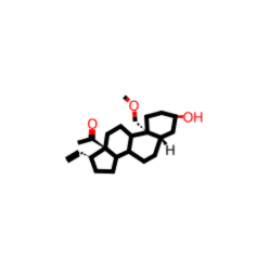 C=C[C@H]1CCC2C3CC[C@H]4C[C@H](O)CC[C@]4(COC)C3CC[C@]21C(C)=O